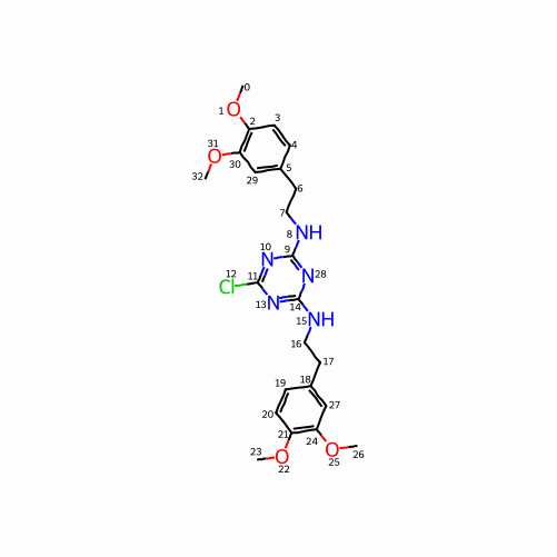 COc1ccc(CCNc2nc(Cl)nc(NCCc3ccc(OC)c(OC)c3)n2)cc1OC